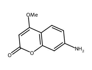 COc1cc(=O)oc2cc(N)ccc12